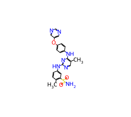 Cc1ccc(Nc2ncc(C)c(Nc3ccc(Oc4cncnc4)cc3)n2)cc1S(N)(=O)=O